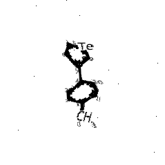 Cc1ccc(-c2cc[te]c2)cc1